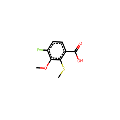 COc1c(F)ccc(C(=O)O)c1SC